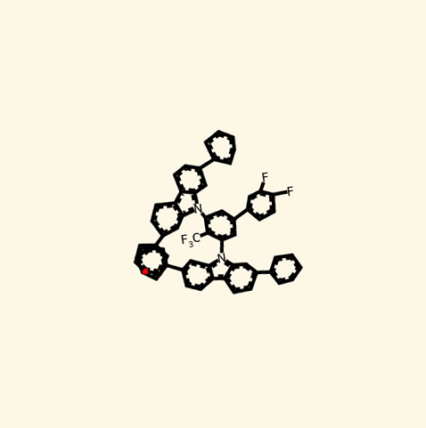 Fc1ccc(-c2cc(-n3c4cc(-c5ccccc5)ccc4c4ccc(-c5ccccc5)cc43)c(C(F)(F)F)c(-n3c4cc(-c5ccccc5)ccc4c4ccc(-c5ccccc5)cc43)c2)cc1F